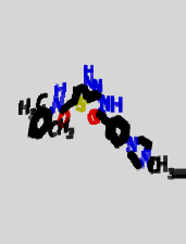 Cc1cccc(C)c1NC(=O)c1cc2[nH]nc(NC(=O)c3ccc(N4CCN(C)CC4)cc3)c2s1